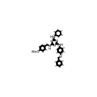 COc1ccc(CNc2nc(Nc3ccc(OCc4ccccc4)cc3)nc(NC3CCCCC3)n2)cc1